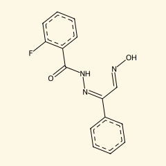 O=C(NN=C(C=NO)c1ccccc1)c1ccccc1F